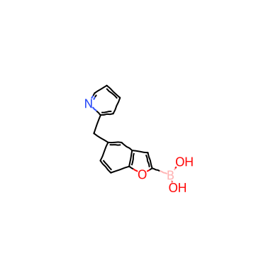 OB(O)c1cc2cc(Cc3ccccn3)ccc2o1